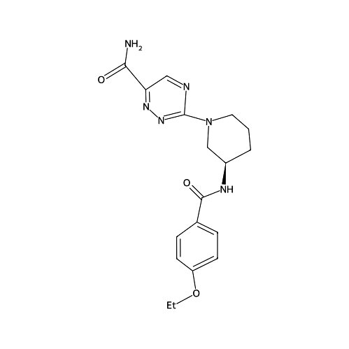 CCOc1ccc(C(=O)N[C@@H]2CCCN(c3ncc(C(N)=O)nn3)C2)cc1